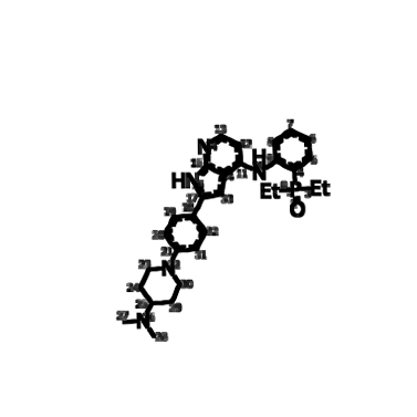 CCP(=O)(CC)c1ccccc1Nc1ccnc2[nH]c(-c3ccc(N4CCC(N(C)C)CC4)cc3)cc12